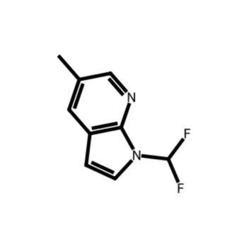 Cc1cnc2c(ccn2C(F)F)c1